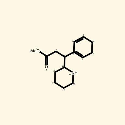 COC(=O)CC(C1=CCCC=C1)C1CCCCN1